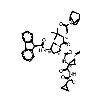 C=C[C@@H]1C[C@]1(NC(=O)[C@@H]1C[C@@H](NC(=O)C2c3ccccc3-c3ccccc32)CN1C(=O)[C@@H](CC(=O)N1CC2CCC1C2)C(C)(C)C)C(=O)NS(=O)(=O)C1CC1